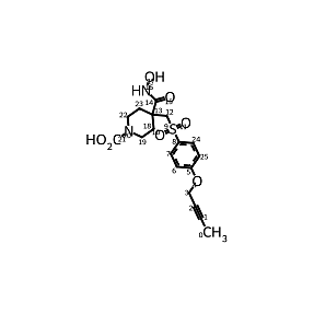 CC#CCOc1ccc(S(=O)(=O)CC2(C(=O)NO)CCN(C(=O)O)CC2)cc1